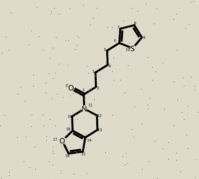 O=C(CCCCc1cccs1)N1CCc2ccoc2C1